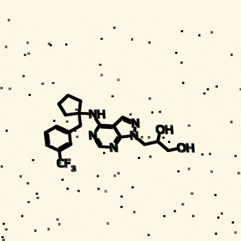 OCC(O)Cn1ncc2c(NC3(Cc4cccc(C(F)(F)F)c4)CCCC3)ncnc21